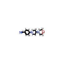 N#Cc1ccc(N2CCC(N3CCOCC3)CC2)cc1